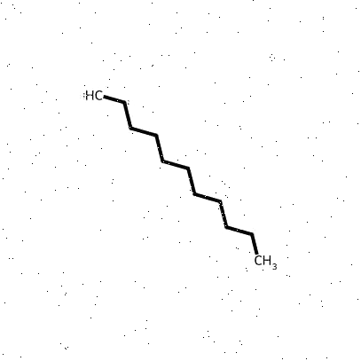 [CH][C]CCCCCCCCC